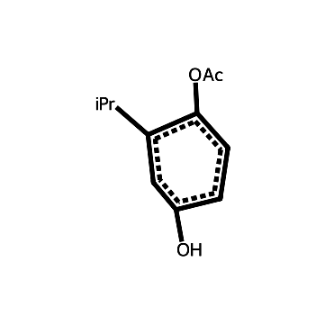 CC(=O)Oc1ccc(O)cc1C(C)C